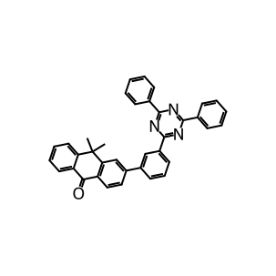 CC1(C)c2ccccc2C(=O)c2ccc(-c3cccc(-c4nc(-c5ccccc5)nc(-c5ccccc5)n4)c3)cc21